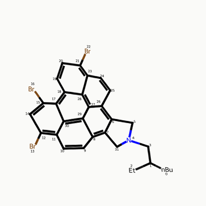 CCCCC(CC)CN1Cc2c(c3ccc4c(Br)cc(Br)c5c6ccc(Br)c7ccc2c(c76)c3c45)C1